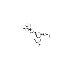 C[C@H]1CN(C2CN(C(=O)O)C2)c2ccc(F)cc21